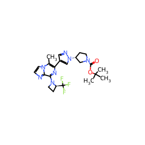 Cc1c(-c2cnn([C@@H]3CCN(C(=O)OC(C)(C)C)C3)c2)nc(N2CC[C@@H]2C(F)(F)F)c2nccn12